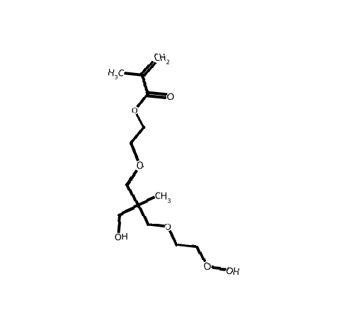 C=C(C)C(=O)OCCOCC(C)(CO)COCCOO